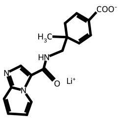 CC1(CNC(=O)c2cnc3ccccn23)C=CC(C(=O)[O-])=CC1.[Li+]